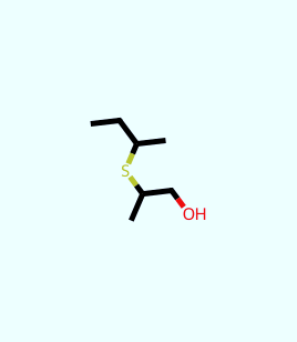 CCC(C)SC(C)CO